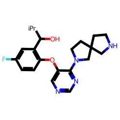 CC(C)C(O)c1cc(F)ccc1Oc1cncnc1N1CCC2(CCNC2)C1